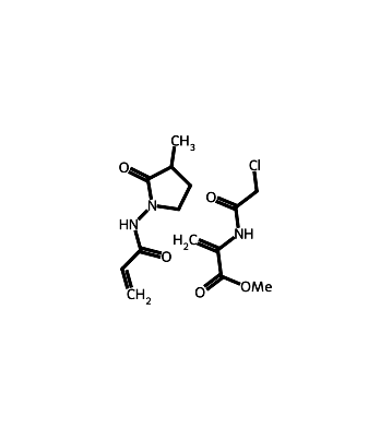 C=C(NC(=O)CCl)C(=O)OC.C=CC(=O)NN1CCC(C)C1=O